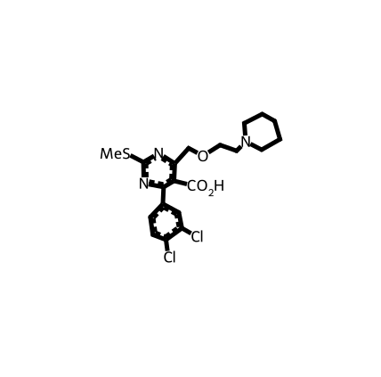 CSc1nc(COCCN2CCCCC2)c(C(=O)O)c(-c2ccc(Cl)c(Cl)c2)n1